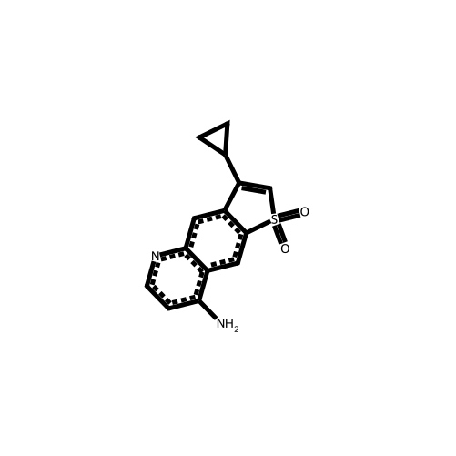 Nc1ccnc2cc3c(cc12)S(=O)(=O)C=C3C1CC1